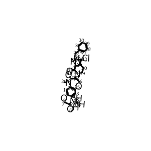 [2H]C([2H])([2H])N1C(=O)COc2cc3c(cc21)OC[C@H](N1CCc2c(nn(Cc4ccccc4)c2Cl)C1=O)C(=O)N3C